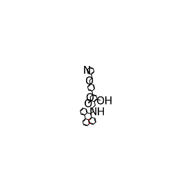 O=c1oc(-c2ccc(OCc3cccnc3)cc2)cc(O)c1CCNC(c1ccccc1)c1ccccc1-c1ccccc1